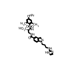 CCCOc1cc(C)c(S(=O)(=O)N[C@@H](CNC(=O)c2ccc3c(cnn3CCCNc3ncc[nH]3)c2)C(=O)O)c(C)c1